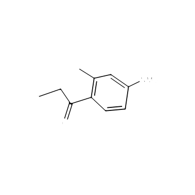 CNc1ccc(C(=O)CI)c(C)c1